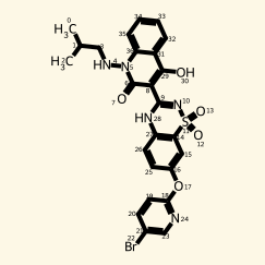 CC(C)CNn1c(=O)c(C2=NS(=O)(=O)c3cc(Oc4ccc(Br)cn4)ccc3N2)c(O)c2ccccc21